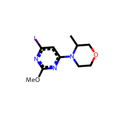 COc1nc(I)cc(N2CCOCC2C)n1